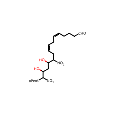 CCCCCC(C(O)CC(O)C(C/C=C\C/C=C\CCC[C]=O)[N+](=O)[O-])[N+](=O)[O-]